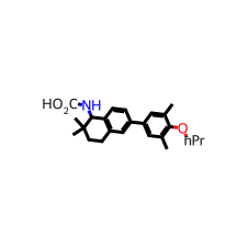 CCCOc1c(C)cc(-c2ccc3c(c2)CCC(C)(C)C3NC(=O)O)cc1C